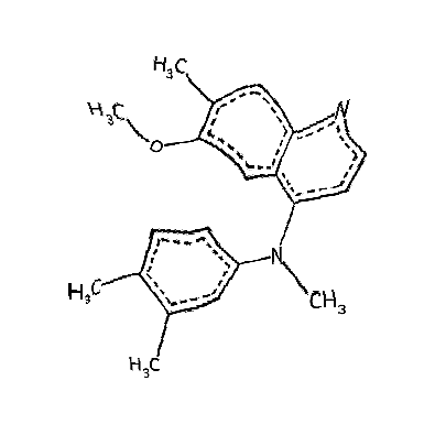 COc1cc2c(N(C)c3ccc(C)c(C)c3)ccnc2cc1C